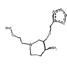 NC1CCN(CCOC=O)CC1OCc1nccs1